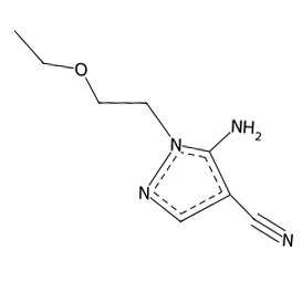 CCOCCn1ncc(C#N)c1N